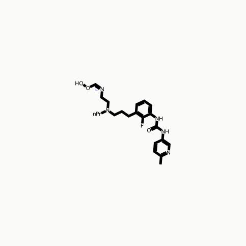 CCCN(CCCc1cccc(NC(=O)Nc2ccc(C)nc2)c1F)CC/N=C\OO